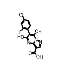 O=C(O)c1cnn2c(O)c(-c3ccc(Cl)cc3F)c(O)nc12